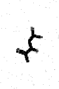 CC(=O)C(F)CC(F)F